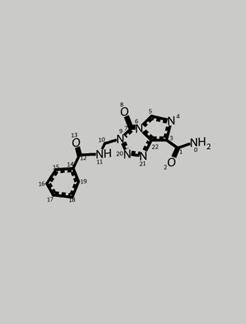 NC(=O)c1ncn2c(=O)n(CNC(=O)c3ccccc3)nnc12